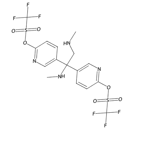 CNCC(NC)(c1ccc(OS(=O)(=O)C(F)(F)F)nc1)c1ccc(OS(=O)(=O)C(F)(F)F)nc1